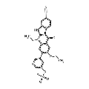 CCOc1cc2c(=O)c3c4ccc(C#N)cc4[nH]c3n(CC)c2cc1-c1cncc(OS(=O)(=O)F)c1